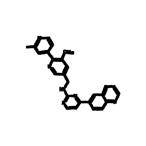 COc1cc(CNc2nccc(-c3ccc4ncccc4c3)n2)cnc1-c1ccnc(C)c1